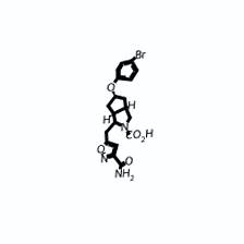 NC(=O)c1cc(CC2[C@H]3C[C@@H](Oc4ccc(Br)cc4)C[C@H]3CN2C(=O)O)on1